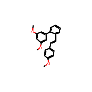 COc1ccc(C=Cc2ccccc2-c2cc(OC)cc(OC)c2)cc1